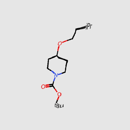 CC(C)CCOC1CCN(C(=O)OC(C)(C)C)CC1